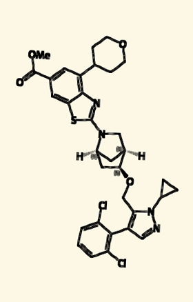 COC(=O)c1cc(C2CCOCC2)c2nc(N3C[C@@H]4C[C@H]3C[C@@H]4OCc3c(-c4c(Cl)cccc4Cl)cnn3C3CC3)sc2c1